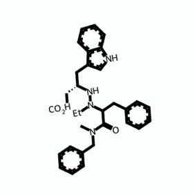 CCN(N[C@H](CC(=O)O)Cc1c[nH]c2ccccc12)C(Cc1ccccc1)C(=O)N(C)Cc1ccccc1